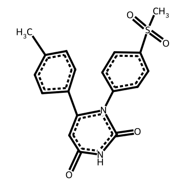 Cc1ccc(-c2cc(=O)[nH]c(=O)n2-c2ccc(S(C)(=O)=O)cc2)cc1